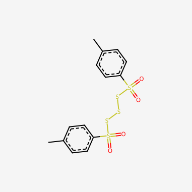 Cc1ccc(S(=O)(=O)SSSS(=O)(=O)c2ccc(C)cc2)cc1